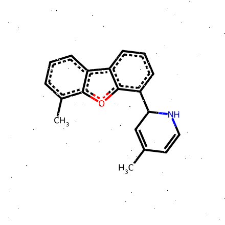 CC1=CC(c2cccc3c2oc2c(C)cccc23)NC=C1